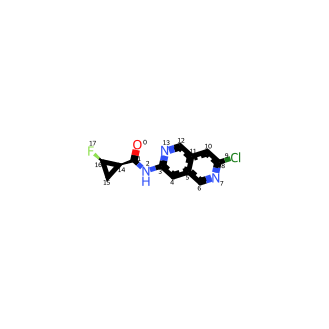 O=C(Nc1cc2cnc(Cl)cc2cn1)[C@H]1C[C@H]1F